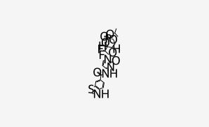 CC(C)OP1(=O)OC[C@H]2OC(n3ccc(NC(=O)c4ccc5c(c4)SCN5)nc3=O)C(F)(F)[C@@H]2O1